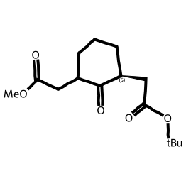 COC(=O)CC1CCC[C@@H](CC(=O)OC(C)(C)C)C1=O